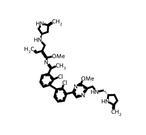 C=C/C(CN[C@H]1CNC(=C)C1)=C(\N=C(/C)c1cccc(-c2cccc(-c3cnc(CNC[C@@H]4CCC(=C)N4)c(OC)n3)c2Cl)c1Cl)OC